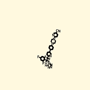 N#Cc1ccc(N2CCN(c3ccc(-c4ccc(C(F)(F)C(O)(Cn5cnnn5)c5ccc(F)cc5F)nc4)cc3)CC2)nc1